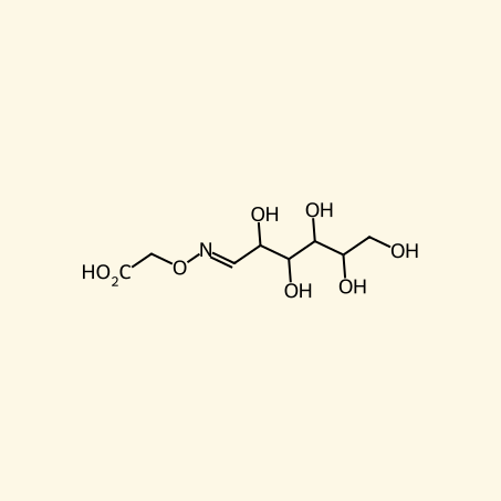 O=C(O)CON=CC(O)C(O)C(O)C(O)CO